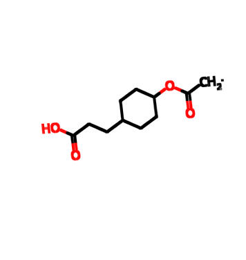 [CH2]C(=O)OC1CCC(CCC(=O)O)CC1